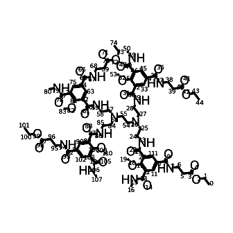 CCOC(=O)CCNC(=O)c1cc(C(=O)NC)c(OC)c(C(=O)NCCN(CCNC(=O)c2cc(C(=O)NCCC(=O)OCC)cc(C(=O)NC)c2OC)CCN(CCNC(=O)c2cc(C(=O)NCCC(=O)OCC)cc(C(=O)NC)c2OC)CCNC(=O)c2cc(C(=O)NCCC(=O)OCC)cc(C(=O)NC)c2OC)c1